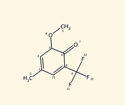 [CH2]C1=CC(OC)C(=O)C(C(F)(F)F)=C1